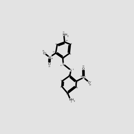 Nc1ccc(SSc2ccc(N)cc2[N+](=O)[O-])c([N+](=O)[O-])c1